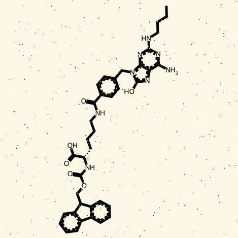 CCCCNc1nc(N)c2nc(O)n(Cc3ccc(C(=O)NCCCC[C@H](NC(=O)OCC4c5ccccc5-c5ccccc54)C(=O)O)cc3)c2n1